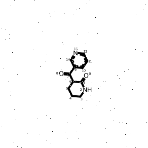 O=C1NCCCC1C(=O)c1cccnc1